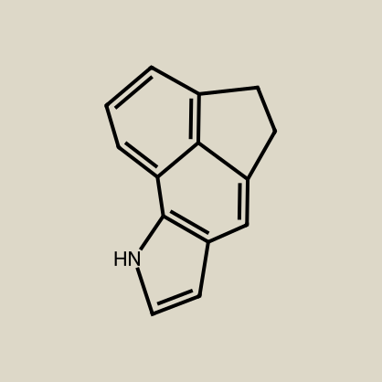 c1cc2c3c(cc4cc[nH]c4c3c1)CC2